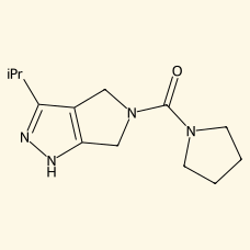 CC(C)c1n[nH]c2c1CN(C(=O)N1CCCC1)C2